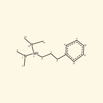 CN(C)[SiH](CCCc1ccccc1)N(C)C